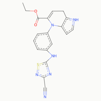 CCOC(=O)C1=CCc2[nH]ccc2N1c1cccc(Nc2nc(C#N)ns2)c1